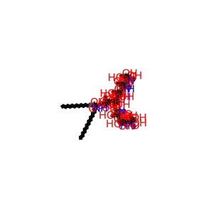 CCCCCCCCCCCCC/C=C/[C@@H](O)[C@H](CO[C@@H]1OC(CO)[C@@H](O[C@@H]2OC(CO[C@@H]3OC(CO)[C@@H](O[C@@H]4OC(CO)[C@H](O[C@@H]5OC(CO)[C@H](O)[C@H](O)C5NC(C)=O)[C@H](O)C4O)[C@H](O)C3NC(C)=O)[C@H](O)[C@H](O[C@H]3OC(CO)[C@H](O)[C@H](O[C@@H]4OC(CO)[C@H](O)[C@H](O[C@H]5OC(CO)[C@H](O)[C@H](O)C5NC(C)=O)C4NC(C)=O)C3O)C2O)[C@H](O)C1O)NC(=O)CCCCCCCCCCCCCCC